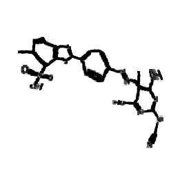 Cc1ccc2nc(-c3ccc(N=NC4(C)C(O)=NC(NC#N)=NC4O)cc3)sc2c1S(=O)(=O)O